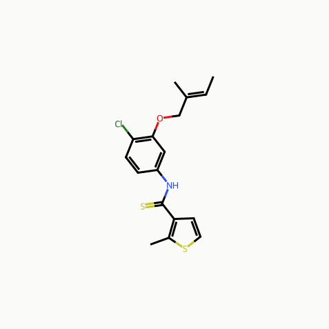 C/C=C(\C)COc1cc(NC(=S)c2ccsc2C)ccc1Cl